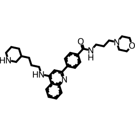 O=C(NCCCN1CCOCC1)c1ccc(-c2cc(NCCCC3CCCNC3)c3ccccc3n2)cc1